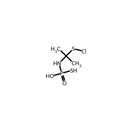 CC(C)(NP(=O)(O)S)SCl